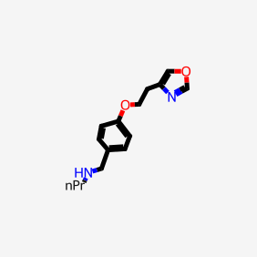 CCCNCc1ccc(OCCc2cocn2)cc1